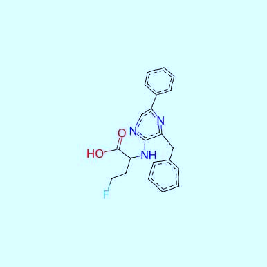 O=C(O)C(CCF)Nc1ncc(-c2ccccc2)nc1Cc1ccccc1